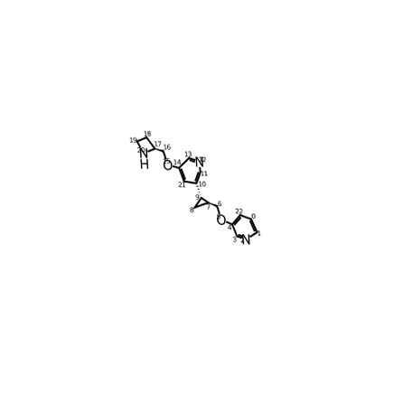 c1cncc(OC[C@H]2C[C@@H]2c2cncc(OC[C@@H]3CCN3)c2)c1